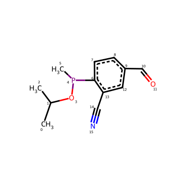 CC(C)OP(C)c1ccc(C=O)cc1C#N